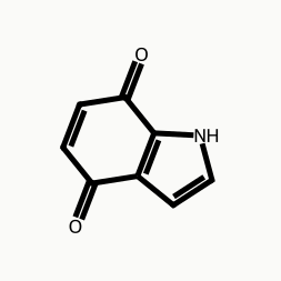 O=C1C=CC(=O)c2[nH]ccc21